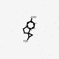 NC1CC12CCc1cc(C=O)ccc12